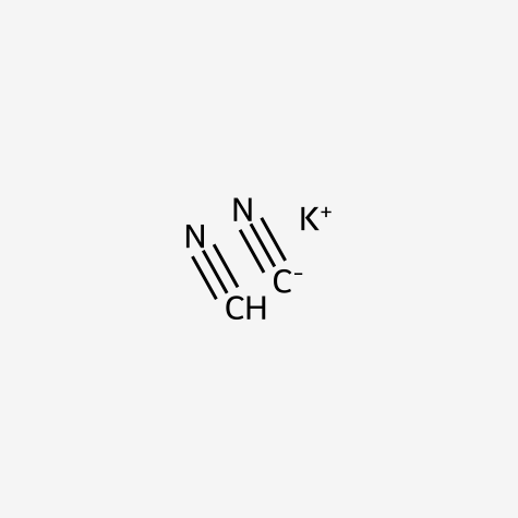 C#N.[C-]#N.[K+]